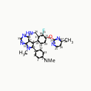 CNc1ccc(-c2c3c4c(ncnc4n2C)NCc2c-3ccc(Oc3nccc(C)n3)c2F)cc1